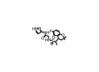 CC(C1CC(C)(C)Oc2ccc(F)cc21)S(=O)(=O)NCC(=O)Nc1cc[nH]n1